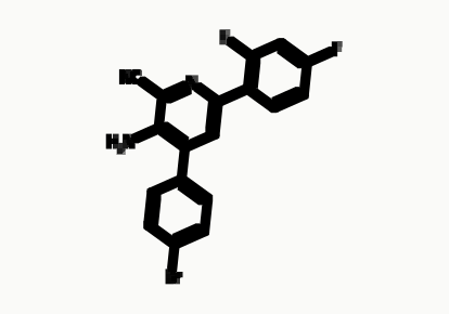 N#Cc1nc(-c2ccc(F)cc2F)cc(-c2ccc(Br)cc2)c1N